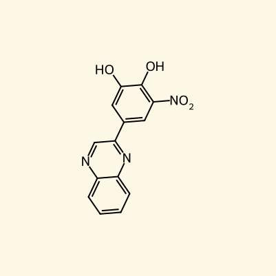 O=[N+]([O-])c1cc(-c2cnc3ccccc3n2)cc(O)c1O